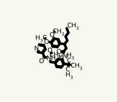 CCCCCC(CC(=O)Nc1cc(CNC(=O)c2cccnc2)ccc1C(C)(C)C)c1cc(OC)c(OC)c(OC)c1